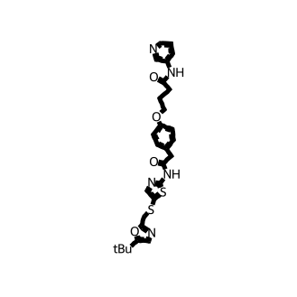 CC(C)(C)c1cnc(CSc2cnc(NC(=O)Cc3ccc(OCCCC(=O)Nc4cccnc4)cc3)s2)o1